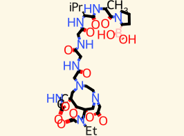 CCN1CC(=O)OC2C3(CNCC(=O)O3)CN(CC(=O)NCC(=O)NCC(=O)N[C@H](C(=O)N[C@H](C)C(=O)N3CCC[C@H]3B(O)O)C(C)C)CCN3CC(=O)OC2(C1)C3